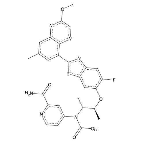 COc1cnc2c(-c3nc4cc(F)c(O[C@@H](C)C(C)N(C(=O)O)c5ccnc(C(N)=O)c5)cc4s3)cc(C)cc2n1